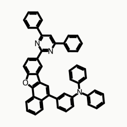 c1ccc(-c2cc(-c3ccccc3)nc(-c3ccc4oc5c6ccccc6c(-c6cccc(N(c7ccccc7)c7ccccc7)c6)cc5c4c3)n2)cc1